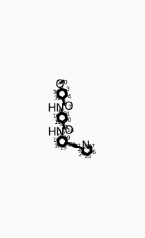 COc1ccc(C(=O)Nc2ccc(C(=O)Nc3cccc(C#Cc4ccccn4)c3)cc2)cc1